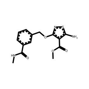 CNC(=O)c1cccc(COc2nsc(N)c2C(=O)OC)c1